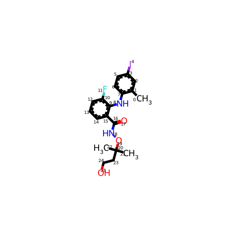 Cc1cc(I)ccc1Nc1c(F)cccc1C(=O)NOC(C)(C)CCO